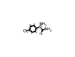 NC(=S)N(N)c1ccc(Cl)cc1